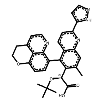 Cc1cc2nc(-c3ccn[nH]3)ccc2c(-c2ccc3c4c(ccnc24)CCO3)c1[C@H](OC(C)(C)C)C(=O)O